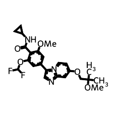 COc1cc(-c2cnc3cc(OCC(C)(C)OC)ccn23)cc(OC(F)F)c1C(=O)NC1CC1